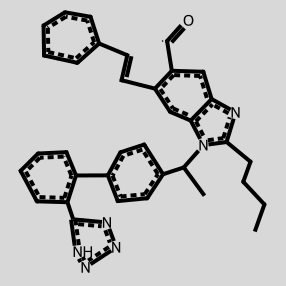 CCCCc1nc2cc([C]=O)c(/C=C/c3ccccc3)cc2n1C(C)c1ccc(-c2ccccc2-c2nnn[nH]2)cc1